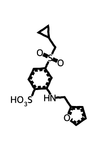 O=S(=O)(O)c1ccc(S(=O)(=O)CC2CC2)cc1NCc1ccco1